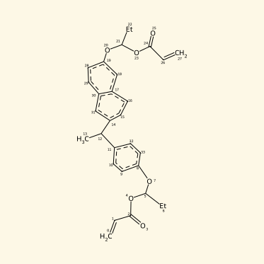 C=CC(=O)OC(CC)Oc1ccc(C(C)c2ccc3cc(OC(CC)OC(=O)C=C)ccc3c2)cc1